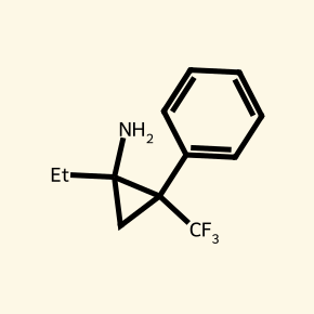 CCC1(N)CC1(c1ccccc1)C(F)(F)F